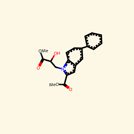 COC(=O)c1cc2cc(-c3ccccc3)ccc2n1CC(O)C(=O)OC